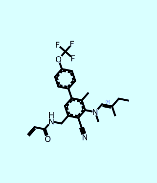 C=CC(=O)NCc1cc(-c2ccc(OC(F)(F)F)cc2)c(C)c(N(C)/C=C(\C)CC)c1C#N